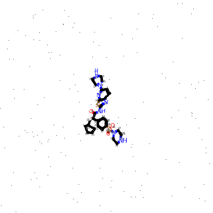 O=C(Nc1nc2ccc(N3CCNCC3)nc2s1)[C@H](CC1CCCC1)c1ccc(S(=O)(=O)N2CCNCC2)cc1